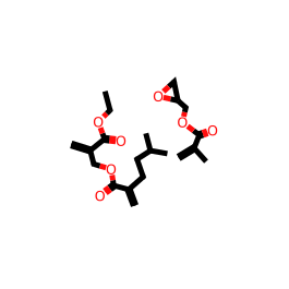 C=C(C)C(=O)OCC1CO1.C=C(CCC(C)C)C(=O)OCC(=C)C(=O)OCC